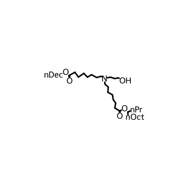 CCCCCCCCCCOC(=O)CCCCCCCN(CCCO)CCCCCCCC(=O)OC(CCC)CCCCCCCC